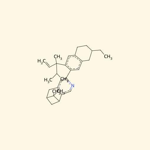 C=CC(C)(c1cc2c(cc1-c1cc3c(cn1)C1CC(C3)C1(C)C)CC(CC)CC2)C(C)C